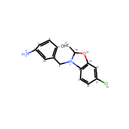 Nc1cccc(CN2c3ccc(Cl)cc3OC2C=O)c1